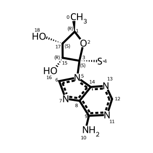 C[C@H]1O[C@@]([S])(n2cnc3c(N)ncnc32)[C@H](O)[C@@H]1O